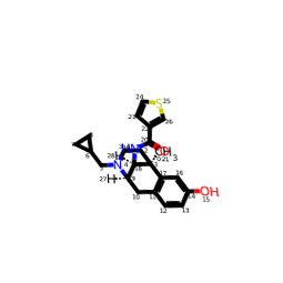 C[C@]12CCN(CC3CC3)[C@H](Cc3ccc(O)cc31)[C@H]2NC(=O)c1ccsc1